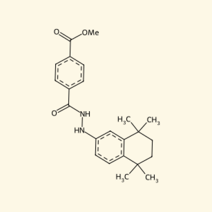 COC(=O)c1ccc(C(=O)NNc2ccc3c(c2)C(C)(C)CCC3(C)C)cc1